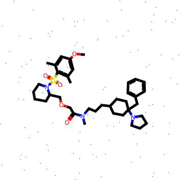 COc1cc(C)c(S(=O)(=O)N2CCCCC2COCC(=O)N(C)CCCC2CCC(Cc3ccccc3)(N3CCCC3)CC2)c(C)c1